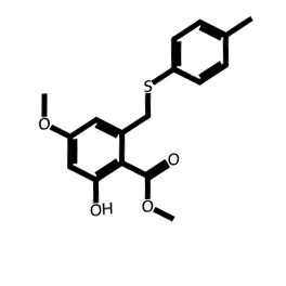 COC(=O)c1c(O)cc(OC)cc1CSc1ccc(C)cc1